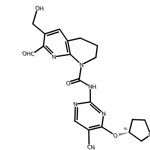 N#Cc1cnc(NC(=O)N2CCCc3cc(CO)c(C=O)nc32)nc1O[C@@H]1CCOC1